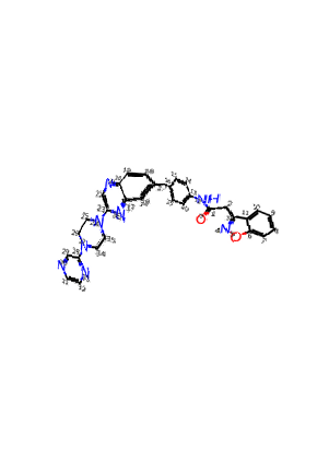 O=C(Cc1noc2ccccc12)Nc1ccc(-c2ccc3ncc(N4CCN(c5cnccn5)CC4)nc3c2)cc1